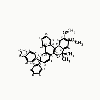 COc1ccc(C2(c3ccccc3)C=Cc3c4c(c5ccccc5c3O2)-c2cc(OC)c(OC)cc2C(C)(C)O4)cc1